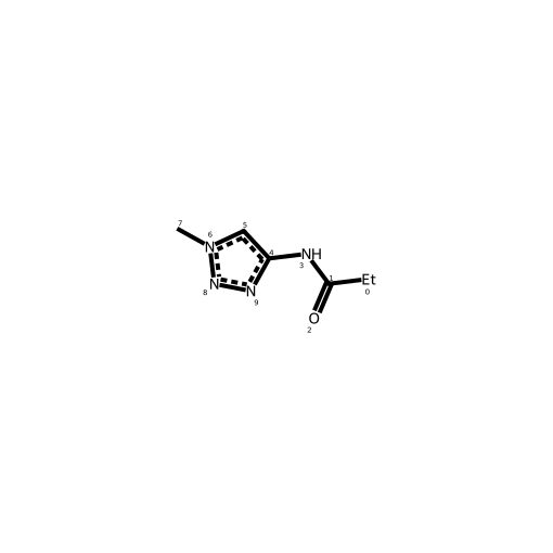 CCC(=O)Nc1cn(C)nn1